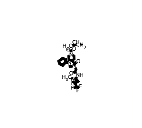 Cn1nc(C(F)(F)F)cc1NC(=O)CN1CN(c2ccccc2)C2(CCN(C(=O)OC(C)(C)C)CC2)C1=O